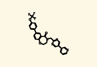 O=C1c2cc(-c3ccc(OC(F)(F)F)cc3)ccc2OCCN1Cc1ncc(-c2cccnc2)cn1